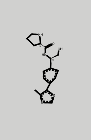 Cc1ncsc1-c1ccc([C@H](CO)NC(=O)[C@@H]2CCCN2)cc1